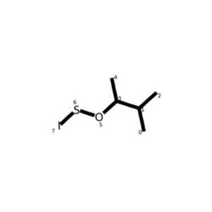 CC(C)C(C)OSI